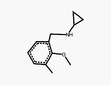 COc1c(C)cccc1CNC1CC1